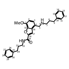 COc1ccc(CNCCCc2ccccc2)c2cc(C(=O)NCCCc3ccccc3)oc12